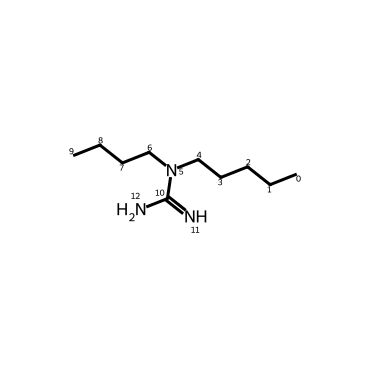 CCCCCN(CCCC)C(=N)N